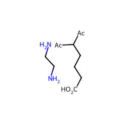 CC(=O)C(CCCC(=O)O)C(C)=O.NCCN